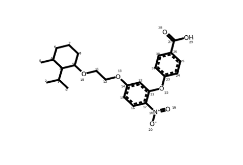 CC(C)C1C(C)CCCC1OCCOc1ccc([N+](=O)[O-])c(Oc2ccc(C(=O)O)cc2)c1